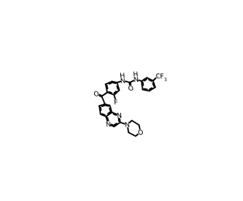 O=C(Nc1cccc(C(F)(F)F)c1)Nc1ccc(C(=O)c2ccc3ncc(N4CCOCC4)nc3c2)c(F)c1